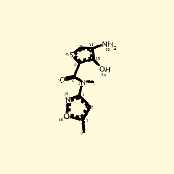 Cc1cc(N(C)C(=O)c2scc(N)c2O)no1